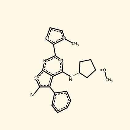 CO[C@H]1CC[C@@H](Nc2nc(-c3nccn3C)nc3sc(Br)c(-c4ccccc4)c23)C1